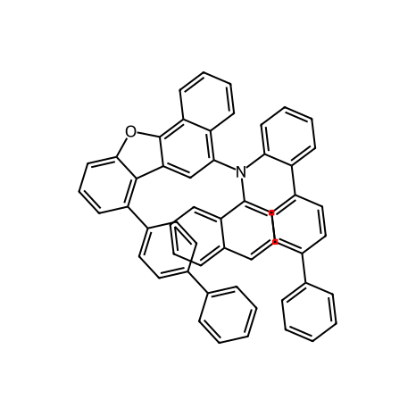 c1ccc(-c2ccc(-c3ccccc3N(c3cccc4ccccc34)c3cc4c(oc5cccc(-c6ccc(-c7ccccc7)cc6)c54)c4ccccc34)cc2)cc1